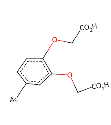 CC(=O)c1ccc(OCC(=O)O)c(OCC(=O)O)c1